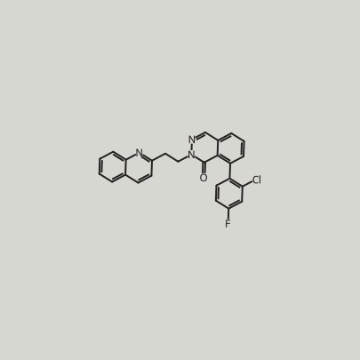 O=c1c2c(-c3ccc(F)cc3Cl)cccc2cnn1CCc1ccc2ccccc2n1